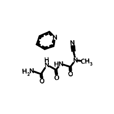 CN(C#N)C(=O)NC(=O)NC(N)=O.c1ccncc1